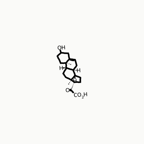 C[C@]12CC[C@H]3[C@@H](CC=C4CC(O)CC[C@@]43C)[C@@H]1CC[C@@H]2C(=O)C(=O)O